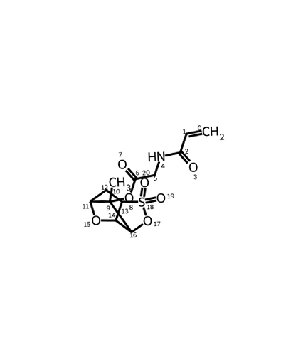 C=CC(=O)NCC(=O)OC1(C)C2CC3C(O2)C1OS3(=O)=O